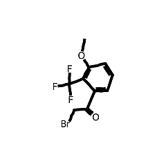 COc1cccc(C(=O)CBr)c1C(F)(F)F